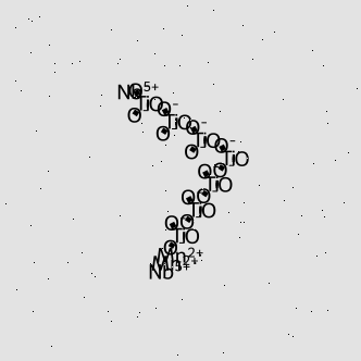 [Mn+2].[Mn+2].[Nb+5].[Nb+5].[O]=[Ti]([O-])[O-].[O]=[Ti]([O-])[O-].[O]=[Ti]([O-])[O-].[O]=[Ti]([O-])[O-].[O]=[Ti]([O-])[O-].[O]=[Ti]([O-])[O-].[O]=[Ti]([O-])[O-]